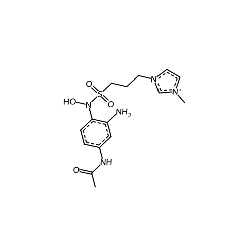 CC(=O)Nc1ccc(N(O)S(=O)(=O)CCCn2cc[n+](C)c2)c(N)c1